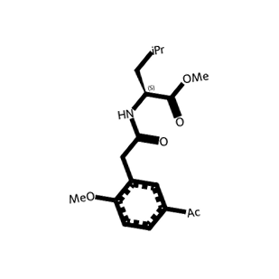 COC(=O)[C@H](CC(C)C)NC(=O)Cc1cc(C(C)=O)ccc1OC